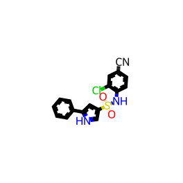 N#Cc1ccc(NS(=O)(=O)c2c[nH]c(-c3ccccc3)c2)c(Cl)c1